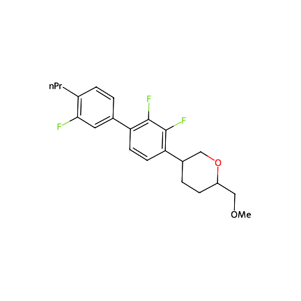 CCCc1ccc(-c2ccc(C3CCC(COC)OC3)c(F)c2F)cc1F